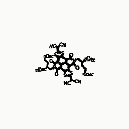 CCCCCCCCCCCCC(CCCCCCCCCC)Cn1c(=O)c2c3sc(=C(C#N)C#N)sc3c3c(=O)n(CC(CCCCCCCCCC)CCCCCCCCCCCC)c(=O)c4c5sc(=C(C#N)C#N)sc5c(c1=O)c2c34